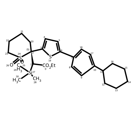 CCOC(=O)C([C@]1(c2ccc(-c3ccc(C4CCCCC4)cc3)s2)CCCCS1(=O)=O)[Si](C)(C)C